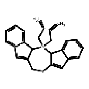 C=C[CH2][Zr]1([CH2]C=C)[CH]2C(=Cc3ccccc32)CCC2=Cc3ccccc3[CH]21